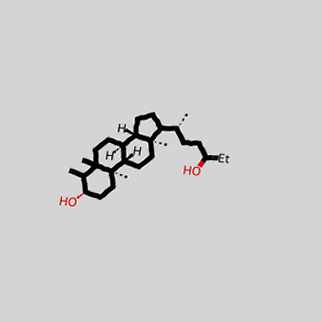 CCC(O)CC[C@@H](C)C1CC[C@H]2[C@@H]3CCC4(C)C(C)[C@@H](O)CC[C@]4(C)[C@H]3CC[C@]12C